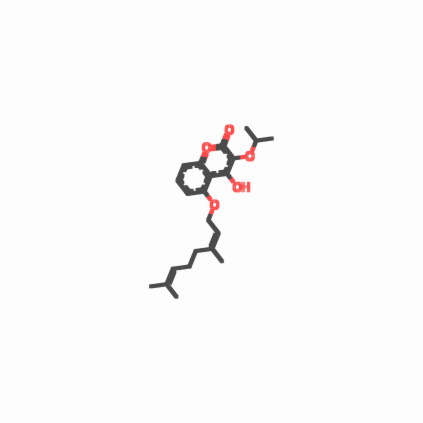 CC(C)=CCCC(C)=CCOc1cccc2oc(=O)c(OC(C)C)c(O)c12